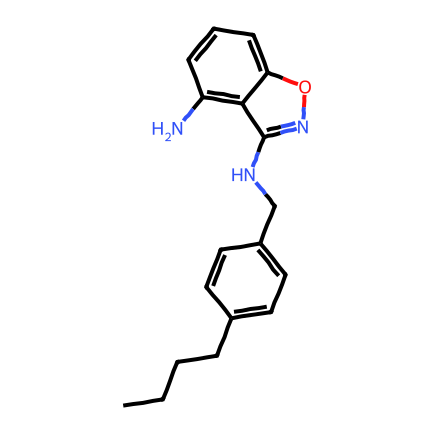 CCCCc1ccc(CNc2noc3cccc(N)c23)cc1